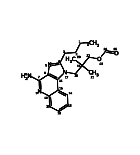 CCCCc1nc2c(N)nc3ccccc3c2n1CC(C)(C)COC=O